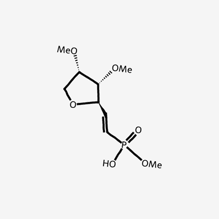 CO[C@H]1[C@@H](OC)CO[C@@H]1/C=C/P(=O)(O)OC